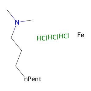 CCCCCCCCN(C)C.Cl.Cl.Cl.[Fe]